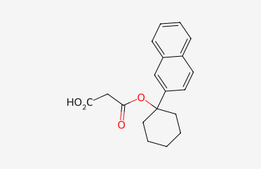 O=C(O)CC(=O)OC1(c2ccc3ccccc3c2)CCCCC1